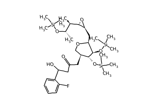 C[C@@H]([C@@H]1O[C@H]1C[C@@H]1OC[C@H](CC(=O)CC(O)c2ccccc2F)[C@@H](O[Si](C)(C)C)[C@@H]1O[Si](C)(C)C)[C@H](C)O[Si](C)(C)C